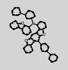 c1ccc(-c2ccc(-c3c4oc5cccc(N(c6cccc(-c7ccccc7)c6)c6cccc7c6oc6ccccc67)c5c4cc4oc5ccccc5c34)cc2)cc1